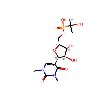 CCC(C)(O)P(=O)(O)OC[C@H]1O[C@@H](c2cn(C)c(=O)n(C)c2=O)[C@H](O)[C@@H]1O